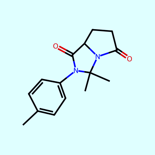 Cc1ccc(N2C(=O)C3CCC(=O)N3C2(C)C)cc1